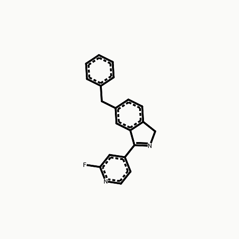 Fc1cc(C2=NCc3ccc(Cc4ccccc4)cc32)ccn1